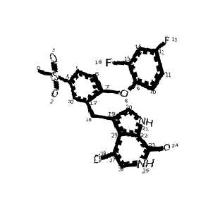 CS(=O)(=O)c1ccc(Oc2ccc(F)cc2F)c(Cc2c[nH]c3c(=O)[nH]cc(Cl)c23)c1